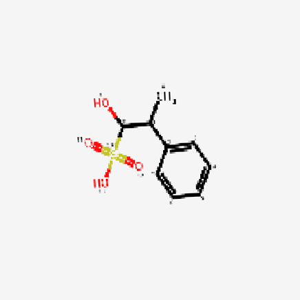 CC(c1ccccc1)C(O)S(=O)(=O)O